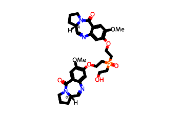 COc1cc2c(cc1OCCP(=O)(CCO)CCOc1cc3c(cc1OC)C(=O)N1CCC[C@H]1C=N3)N=C[C@@H]1CCCN1C2=O